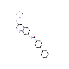 Cc1c(NC(=O)c2ccc(-c3cccc(F)c3)cc2)ccc2cc(CN3CCCC3)cnc12